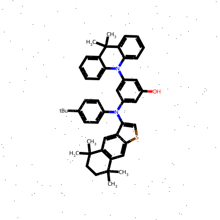 CC(C)(C)c1ccc(N(c2cc(O)cc(N3c4ccccc4C(C)(C)c4ccccc43)c2)c2csc3cc4c(cc23)C(C)(C)CCC4(C)C)cc1